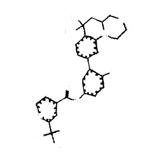 Cc1ccc(NC(=O)c2ccnc(C(C)(F)F)c2)cc1-c1ccc2c(c1)N1CCOCC1CC2(C)O